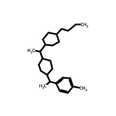 CCCCC1CCC(C(C)C2CCC(C(C)c3ccc(C)cc3)CC2)CC1